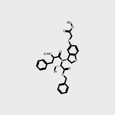 CC(=O)NC(Cc1ccccc1)C(=O)N([C@@H]1COc2ccc(SCC(=O)OC(C)(C)C)cc21)[C@@H](CC(C)C)C(=O)OCc1ccccc1